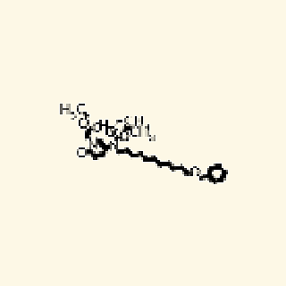 CCOC(=O)Cn1cc(N(CCCCCCCCCCCOCc2ccccc2)C(=O)OC(C)(C)C)ccc1=O